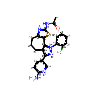 CC(=O)Nc1nc2c(s1)-c1c(c(-c3ccc(N)nc3)nn1-c1ccccc1Cl)CCC2